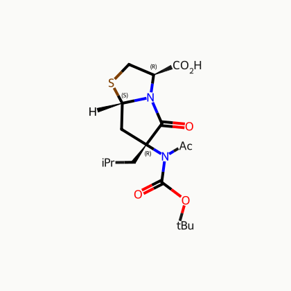 CC(=O)N(C(=O)OC(C)(C)C)[C@]1(CC(C)C)C[C@@H]2SC[C@@H](C(=O)O)N2C1=O